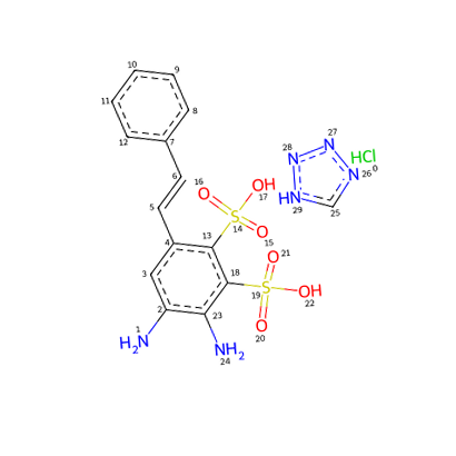 Cl.Nc1cc(C=Cc2ccccc2)c(S(=O)(=O)O)c(S(=O)(=O)O)c1N.c1nnn[nH]1